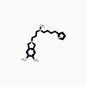 Cc1cc2c(cc1C)CN(CCCN(C)CCCCc1cccs1)C2